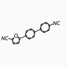 [C-]#[N+]c1ccc(-c2ccc(-c3ccc(C#N)o3)cc2)cc1